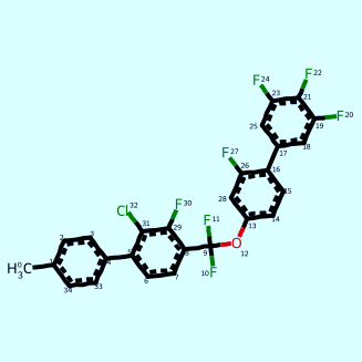 Cc1ccc(-c2ccc(C(F)(F)Oc3ccc(-c4cc(F)c(F)c(F)c4)c(F)c3)c(F)c2Cl)cc1